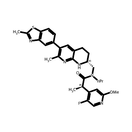 CCCN(C[C@H]1CCc2cc(-c3ccc4sc(C)nc4c3)c(C)nc2N1)C(=O)[C@H](C)c1cc(OC)ncc1F